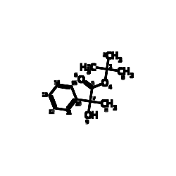 CC(C)(C)OC(=O)C(C)(O)c1ccccc1